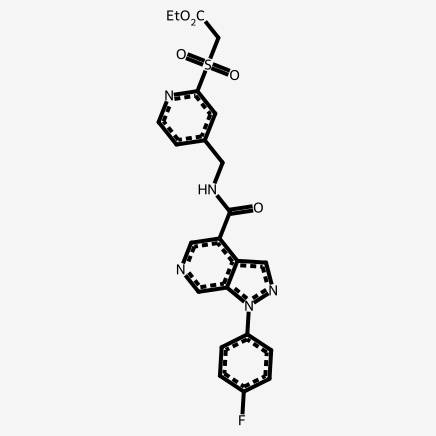 CCOC(=O)CS(=O)(=O)c1cc(CNC(=O)c2cncc3c2cnn3-c2ccc(F)cc2)ccn1